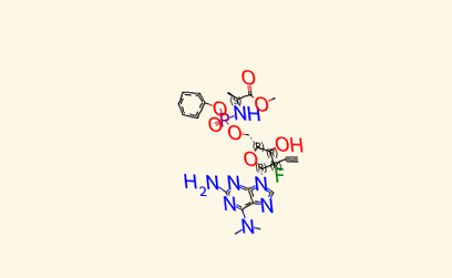 C#C[C@@]1(F)[C@H](O)[C@@H](COP(=O)(N[C@@H](C)C(=O)OC)Oc2ccccc2)O[C@H]1n1cnc2c(N(C)C)nc(N)nc21